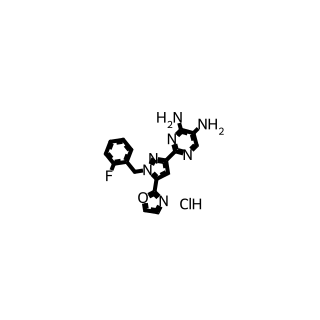 Cl.Nc1cnc(-c2cc(-c3ncco3)n(Cc3ccccc3F)n2)nc1N